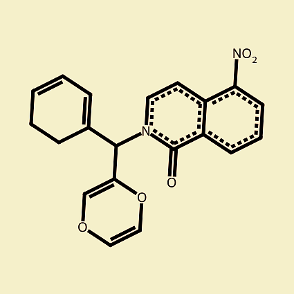 O=c1c2cccc([N+](=O)[O-])c2ccn1C(C1=CC=CCC1)C1=COC=CO1